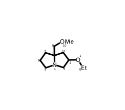 CCOC1CN2CCCC2(COC)C1